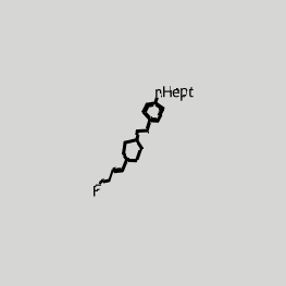 CCCCCCCc1ccc(CCC2CCC(C=CCCF)CC2)cc1